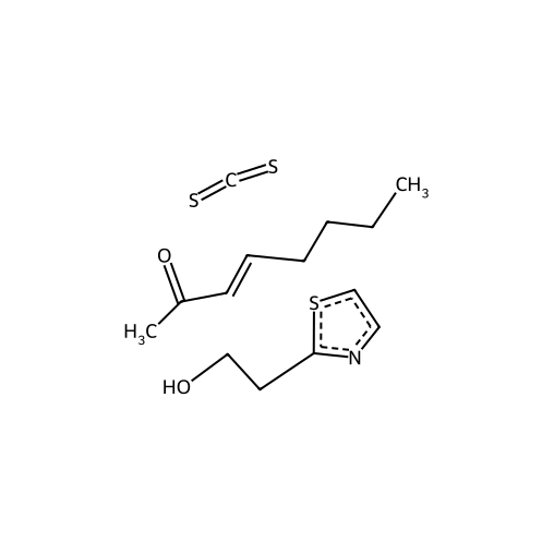 CCCCC=CC(C)=O.OCCc1nccs1.S=C=S